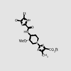 CCOC(=O)c1sc(N2CCC(NC(=O)c3nc(Cl)c(CC)[nH]3)[C@@H](OC)C2)nc1C